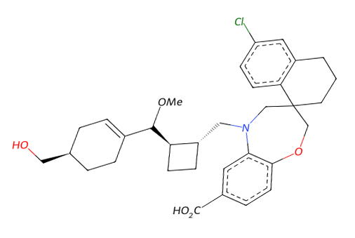 COC(C1=CC[C@H](CO)CC1)[C@@H]1CC[C@H]1CN1CC2(CCCc3cc(Cl)ccc32)COc2ccc(C(=O)O)cc21